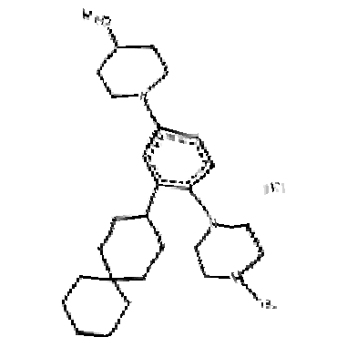 CCCCN1CCN(c2ccc(N3CCC(OC)CC3)cc2C2CCC3(CCCCC3)CC2)CC1.Cl